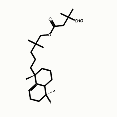 CC(C)(C=O)CC(=O)OCC(C)(C)CCC[C@]1(C)CCCC2C1=CCC[C@]2(C)I